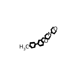 Cc1ccc(-c2ccc3c(c2)CC2(CCN(C4CCOCC4)CC2)O3)cc1